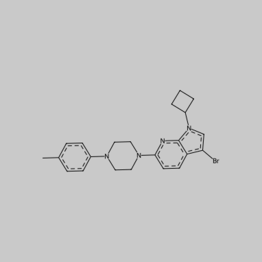 Cc1ccc(N2CCN(c3ccc4c(Br)cn(C5CCC5)c4n3)CC2)cc1